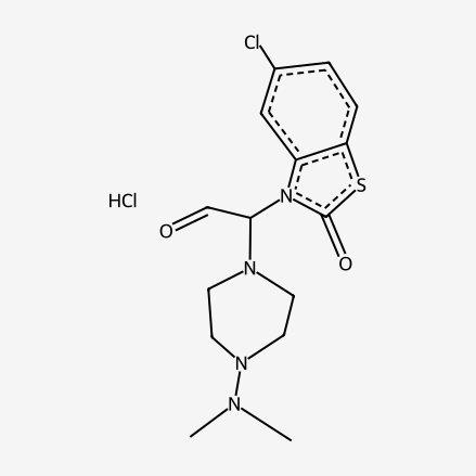 CN(C)N1CCN(C(C=O)n2c(=O)sc3ccc(Cl)cc32)CC1.Cl